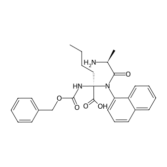 CCCC[C@@](NC(=O)OCc1ccccc1)(C(=O)O)N(C(=O)[C@H](C)N)c1cccc2ccccc12